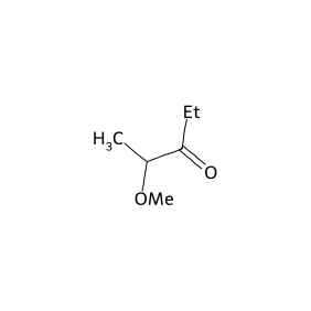 CCC(=O)C(C)OC